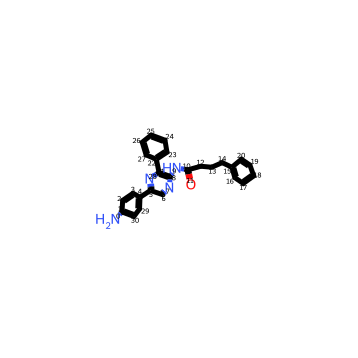 Nc1ccc(-c2cnc(NC(=O)CCCc3ccccc3)c(-c3ccccc3)n2)cc1